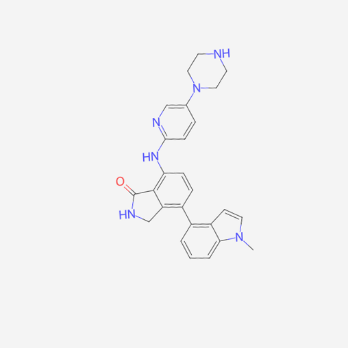 Cn1ccc2c(-c3ccc(Nc4ccc(N5CCNCC5)cn4)c4c3CNC4=O)cccc21